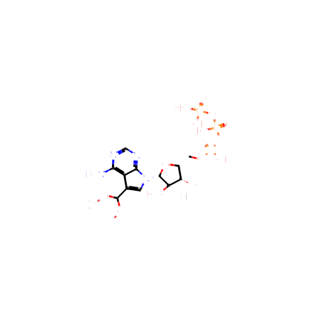 CCOC(OCC)c1cn([C@@H]2O[C@H](COP(=O)(O)OP(=O)(O)OP(=O)(O)O)[C@@H](O)[C@@]2(C)O)c2ncnc(N)c12